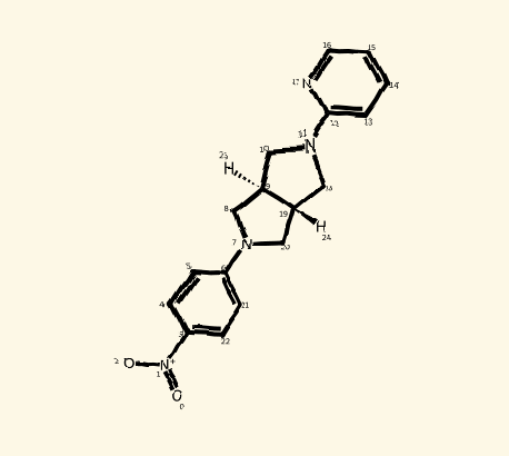 O=[N+]([O-])c1ccc(N2C[C@H]3CN(c4ccccn4)C[C@@H]3C2)cc1